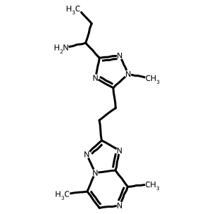 CCC(N)c1nc(CCc2nc3c(C)ncc(C)n3n2)n(C)n1